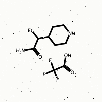 CCC(C(N)=O)C1CCNCC1.O=C(O)C(F)(F)F